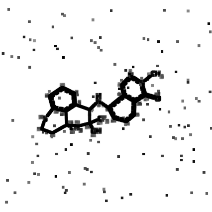 Cn1ncc2c(NC3c4cccc5c4C(C)(CCS5)CC3(O)C(F)(F)F)cccc2c1=O